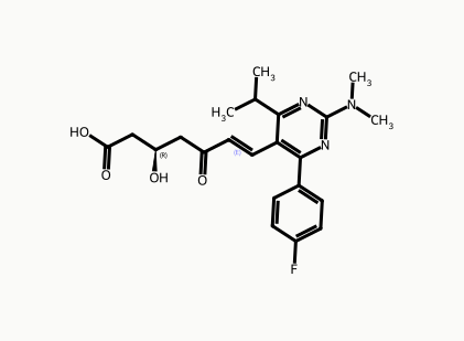 CC(C)c1nc(N(C)C)nc(-c2ccc(F)cc2)c1/C=C/C(=O)C[C@@H](O)CC(=O)O